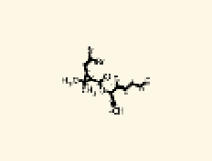 C#CC(OC(=O)C1C(C=C(Br)Br)C1(C)C)C(F)=CCCF